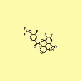 CN(C(=O)c1ccc(OC(F)F)c(F)c1)[C@@H]1COCc2[nH]c(=O)c3cc(F)c(F)cc3c21